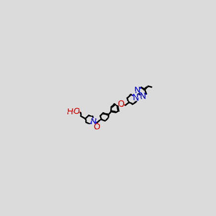 CCc1cnc(N2CCC(COc3ccc(C4=CCC(C(=O)N5CCC(CCO)CC5)CC4)cc3)CC2)nc1